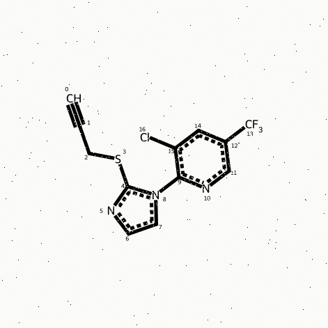 C#CCSc1nccn1-c1ncc(C(F)(F)F)cc1Cl